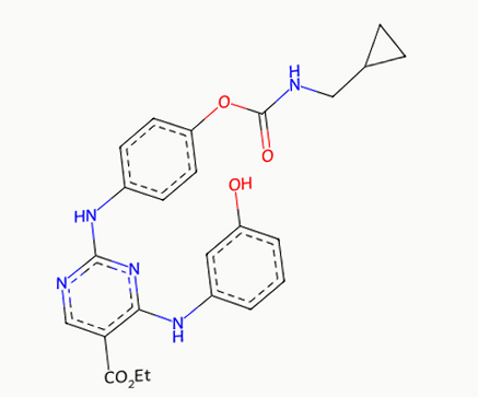 CCOC(=O)c1cnc(Nc2ccc(OC(=O)NCC3CC3)cc2)nc1Nc1cccc(O)c1